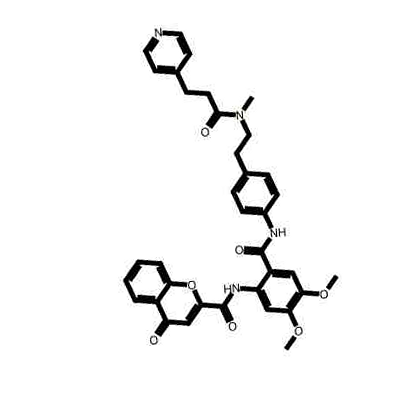 COc1cc(NC(=O)c2cc(=O)c3ccccc3o2)c(C(=O)Nc2ccc(CCN(C)C(=O)CCc3ccncc3)cc2)cc1OC